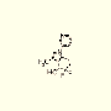 OC1c2c(C(F)(F)F)cn(-c3cccnc3)c2CCC1(F)F